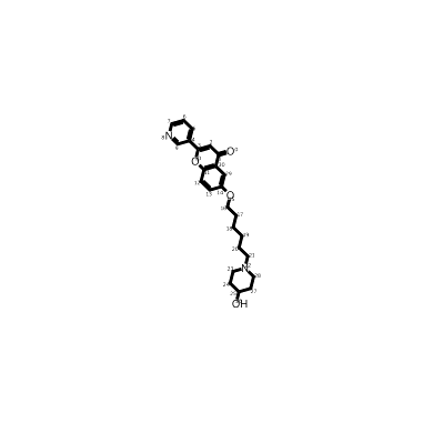 O=c1cc(-c2cccnc2)oc2ccc(OCCCCCCN3CCC(O)CC3)cc12